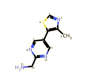 Cc1ncsc1-c1cnc(CN)nc1